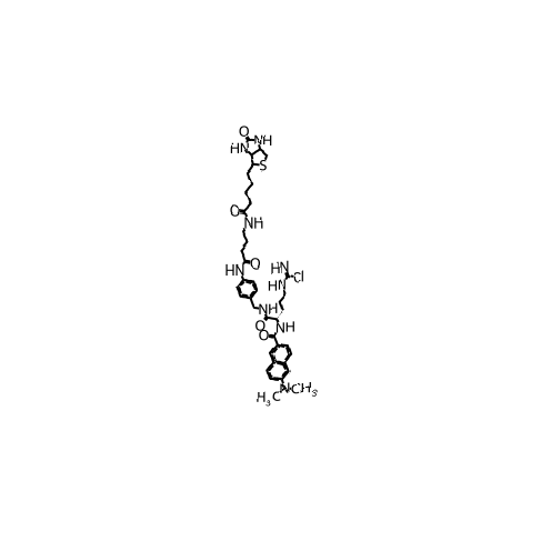 CN(C)c1ccc2cc(C(=O)N[C@@H](CCCNC(=N)Cl)C(=O)NCc3ccc(NC(=O)CCCNC(=O)CCCCC4SCC5NC(=O)NC54)cc3)ccc2c1